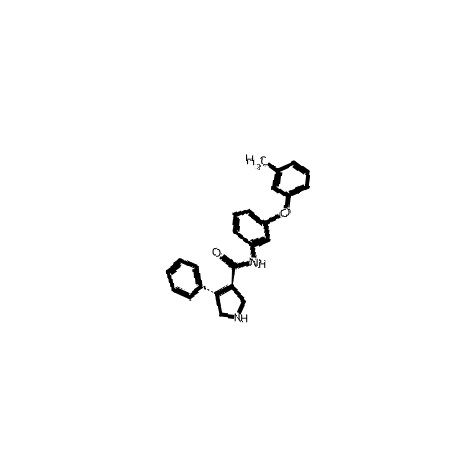 Cc1cccc(Oc2cccc(NC(=O)[C@H]3CNC[C@@H]3c3ccccc3)c2)c1